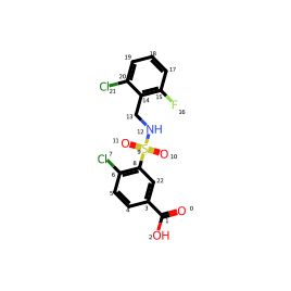 O=C(O)c1ccc(Cl)c(S(=O)(=O)NCc2c(F)cccc2Cl)c1